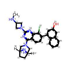 CNC1CN(c2nc(N3C[C@H]4CC[C@@H](C3)N4)c3ccc(-c4cc(O)cc5ccccc45)c(F)c3n2)C1